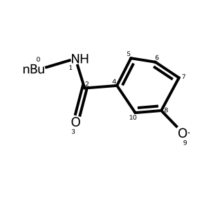 CCCCNC(=O)c1cccc([O])c1